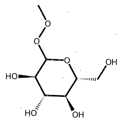 COOC1O[C@H](CO)[C@@H](O)[C@H](O)[C@H]1O